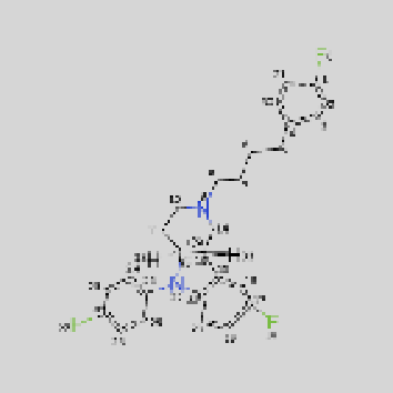 Fc1ccc(CCCCN2CC[C@H]3[C@H](C2)c2cc(F)ccc2N3c2ccc(F)cc2)cc1